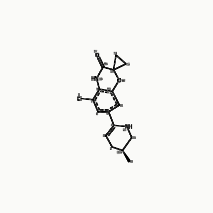 C[C@H]1CC=C(c2cc(Cl)c3c(c2)OC2(CC2)C(=O)N3)NC1